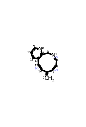 C=C1/C=C\C=N/Cc2ncccc2/C=C\1